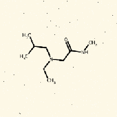 CCN(CC(=O)NC)CC(C)C